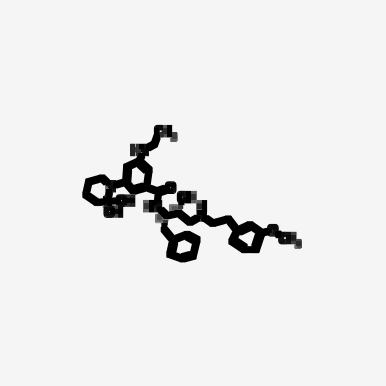 CCNc1cc(C(=O)N[C@@H](Cc2ccccc2)[C@H](O)CNCCc2cccc(OC)c2)cc(N2CCCCS2(O)O)c1